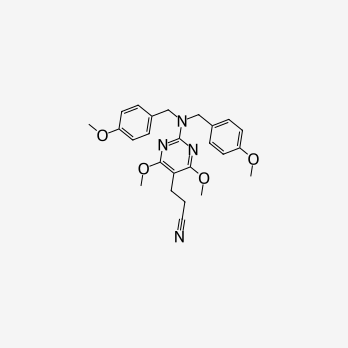 COc1ccc(CN(Cc2ccc(OC)cc2)c2nc(OC)c(CCC#N)c(OC)n2)cc1